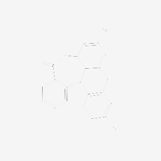 NC1=CC2OC(=O)c3ccccc3C3c4ccc(N)cc4CC(=C1)C23